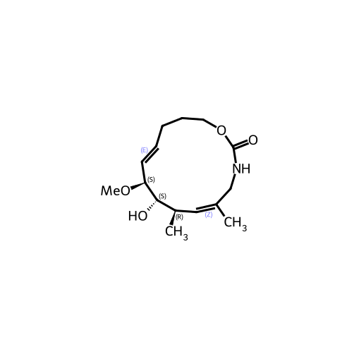 CO[C@H]1/C=C/CCCOC(=O)NC/C(C)=C\[C@@H](C)[C@@H]1O